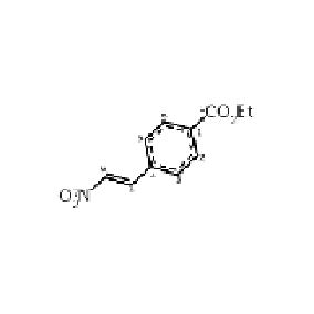 CCOC(=O)c1ccc(C=C[N+](=O)[O-])cc1